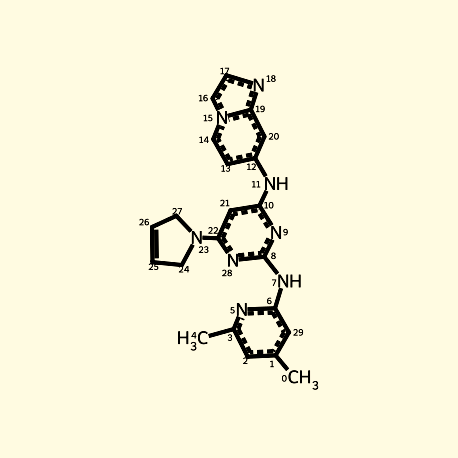 Cc1cc(C)nc(Nc2nc(Nc3ccn4ccnc4c3)cc(N3CC=CC3)n2)c1